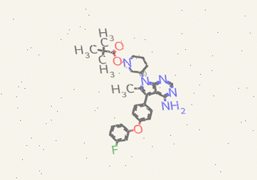 Cc1c(-c2ccc(Oc3cccc(F)c3)cc2)c2c(N)ncnc2n1[C@@H]1CCCN(OC(=O)C(C)(C)C)C1